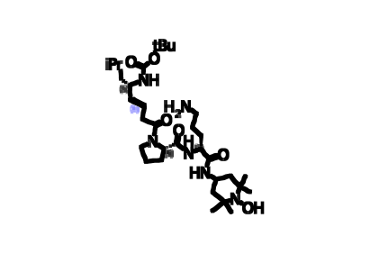 CC(C)C[C@@H](/C=C/CC(=O)N1CCC[C@H]1C(=O)N[C@@H](CCCN)C(=O)NC1CC(C)(C)N(O)C(C)(C)C1)NC(=O)OC(C)(C)C